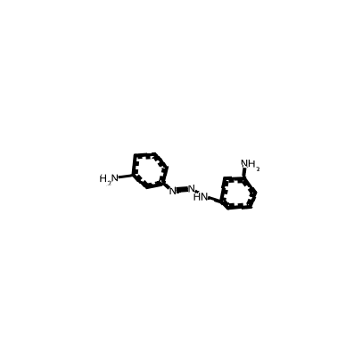 Nc1cccc(/N=N/Nc2cccc(N)c2)c1